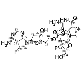 Nc1nc2c(ncn2[C@@H]2O[C@H](CO)[C@@H](F)[C@H]2P(=O)(S)OCC[C@H]2O[C@@H](n3cc(F)c4c(N)ncnc43)C[C@@H]2O)c(=O)[nH]1